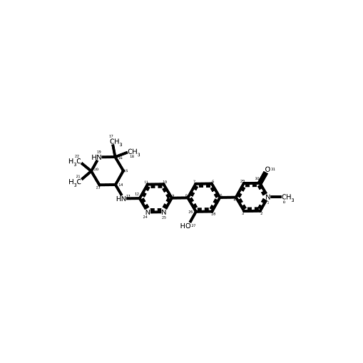 Cn1ccc(-c2ccc(-c3ccc(NC4CC(C)(C)NC(C)(C)C4)nn3)c(O)c2)cc1=O